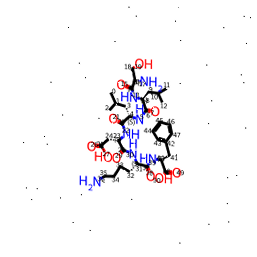 CC(C)C[C@H](NC(=O)[C@H](CC(C)C)NC(=O)[C@@H](N)CO)C(=O)N[C@@H](CC(=O)O)C(=O)N[C@@H](CCCCN)C(=O)N[C@@H](Cc1ccccc1)C(=O)O